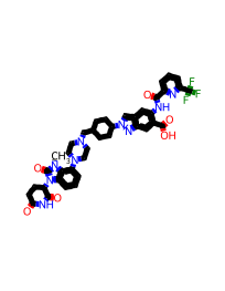 Cn1c(=O)n(C2CCC(=O)NC2=O)c2cccc(N3CCN(CC4CCC(n5cc6cc(NC(=O)c7cccc(C(F)(F)F)n7)c(C(=O)O)cc6n5)CC4)CC3)c21